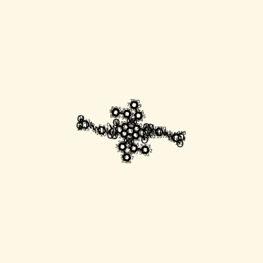 CC(C(=O)N1CCN(CCN(CC2CO2)CC2CO2)CC1)N1C(=O)c2cc(Oc3cccc(-c4ccccc4)c3)c3c4c(Oc5cccc(-c6ccccc6)c5)cc5c6c(cc(Oc7cccc(-c8ccccc8)c7)c(c7c(Oc8cccc(-c9ccccc9)c8)cc(c2c37)C1=O)c64)C(=O)N(C(C)C(=O)N1CCN(CCN(CC2CO2)CC2CO2)CC1)C5=O